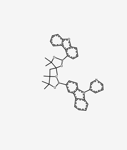 CC1(C)OB(c2ccc3c(c2)c2ccccc2n3-c2cccnc2)OC1(C)CC1(C)OB(c2cccc3oc4ccccc4c23)OC1(C)C